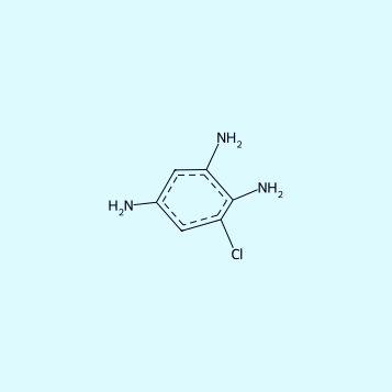 Nc1cc(N)c(N)c(Cl)c1